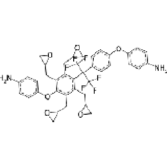 Nc1ccc(Oc2ccc(C(c3c(CC4CO4)c(CC4CO4)c(Oc4ccc(N)cc4)c(CC4CO4)c3CC3CO3)(C(F)(F)F)C(F)(F)F)cc2)cc1